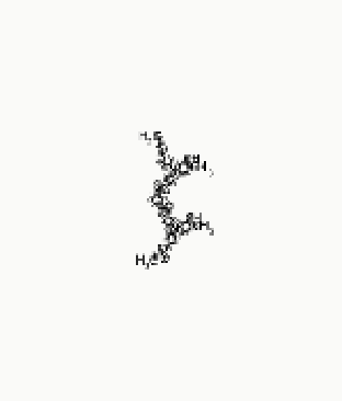 C=CCOCc1ccc(N(c2ccc(OC(=O)c3cccc(C(=O)Oc4ccc(N(c5ccc(COC(=O)C=C)cc5)c5ccc(C)c(C)c5)cc4)c3)cc2)c2ccc(C)c(C)c2)cc1